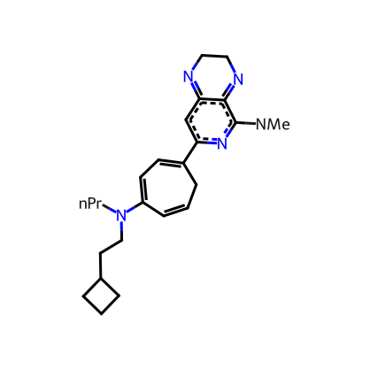 CCCN(CCC1CCC1)C1=CC=C(c2cc3c(c(NC)n2)=NCCN=3)CC=C1